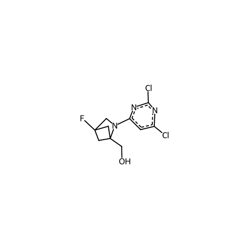 OCC12CC(F)(CN1c1cc(Cl)nc(Cl)n1)C2